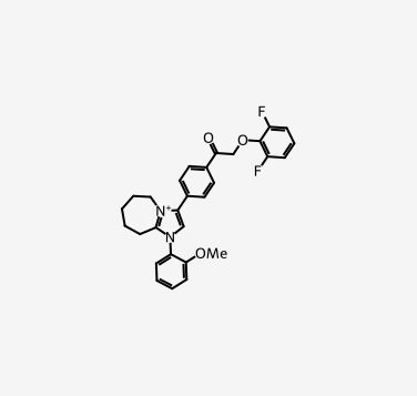 COc1ccccc1-n1cc(-c2ccc(C(=O)COc3c(F)cccc3F)cc2)[n+]2c1CCCCC2